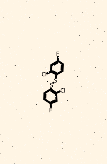 Fc1ccc(SSc2ccc(F)cc2Cl)c(Cl)c1